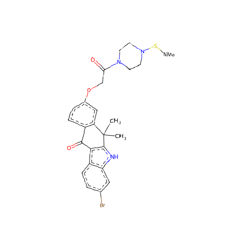 CNSN1CCN(C(=O)COc2ccc3c(c2)C(C)(C)c2[nH]c4cc(Br)ccc4c2C3=O)CC1